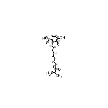 C=C(C)C(=O)OCCCCCCCCc1c(C(=O)O)ccc(O)c1Cl